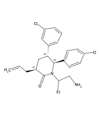 C=CC[C@H]1C[C@H](c2cccc(Cl)c2)[C@@H](c2ccc(Cl)cc2)N(C(CC)CN)C1=O